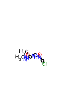 CCOc1cc(N2CCCN(C(=O)NCc3ccc(Cl)cc3)CC2)ccc1-n1cnc(C)n1